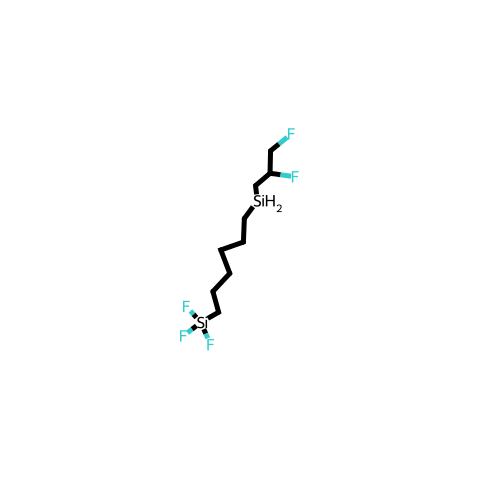 FCC(F)C[SiH2]CCCCCC[Si](F)(F)F